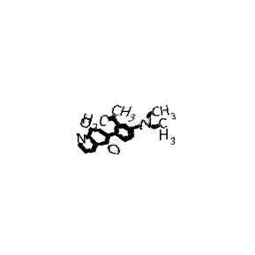 C=C(C)c1cc(N(CC)CC)ccc1C1=CC(=O)c2ncccc2C1=O